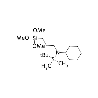 CO[Si](CCCN(C1CCCCC1)[Si](C)(C)C(C)(C)C)(OC)OC